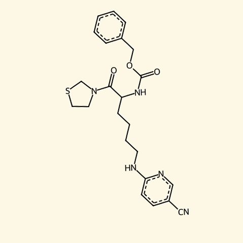 N#Cc1ccc(NCCCCC(NC(=O)OCc2ccccc2)C(=O)N2CCSC2)nc1